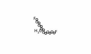 CCc1c(Oc2cccc(Oc3cccc(Oc4cccc(F)c4)c3)c2)cccc1Oc1cccc(Oc2cccc(Oc3cccc(F)c3)c2)c1